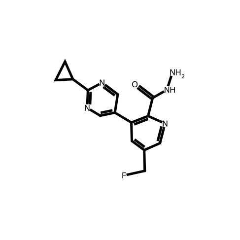 NNC(=O)c1ncc(CF)cc1-c1cnc(C2CC2)nc1